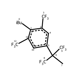 CCC(C)c1c(C(F)(F)F)cc(C(C)(C(F)(F)F)C(F)(F)F)cc1C(F)(F)F